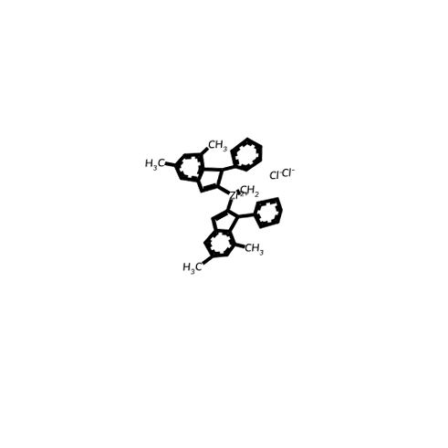 [CH2]=[Zr+2]([C]1=Cc2cc(C)cc(C)c2C1c1ccccc1)[C]1=Cc2cc(C)cc(C)c2C1c1ccccc1.[Cl-].[Cl-]